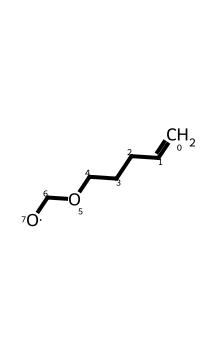 C=CCCCOC[O]